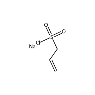 C=CCS(=O)(=O)Cl.[Na]